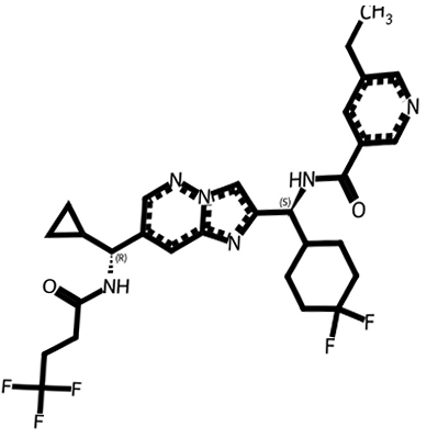 CCc1cncc(C(=O)N[C@H](c2cn3ncc([C@H](NC(=O)CCC(F)(F)F)C4CC4)cc3n2)C2CCC(F)(F)CC2)c1